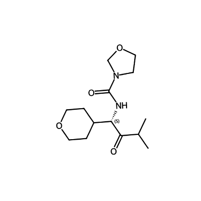 CC(C)C(=O)[C@@H](NC(=O)N1CCOC1)C1CCOCC1